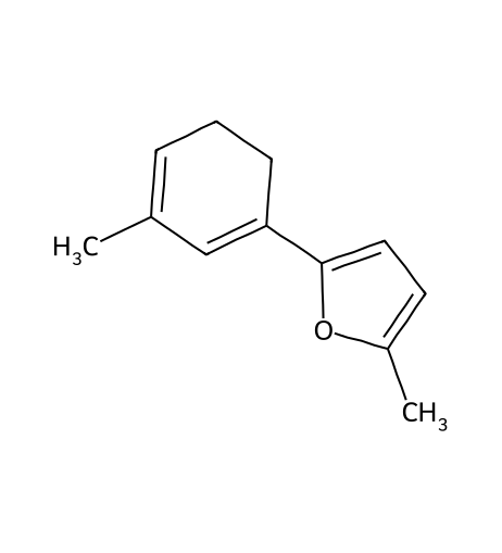 CC1=CCCC(c2ccc(C)o2)=C1